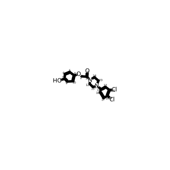 O=C(COc1ccc(O)cc1)N1CCN(c2ccc(Cl)c(Cl)c2)CC1